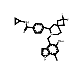 COc1cc(C)c2[nH]ccc2c1CN1CCC2(CC1c1ccc(C(=O)NC3CC3)cc1)CC(F)(F)C2